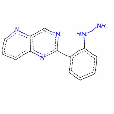 NNc1ccccc1-c1ncc2ncccc2n1